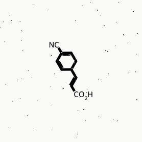 N#CC1=CCC(C=CC(=O)O)C=C1